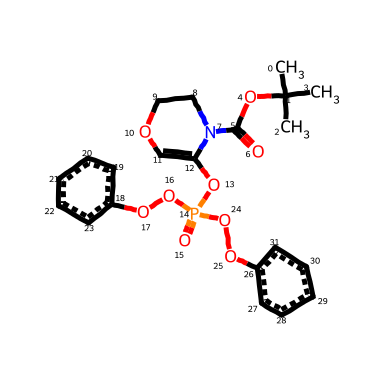 CC(C)(C)OC(=O)N1CCOC=C1OP(=O)(OOc1ccccc1)OOc1ccccc1